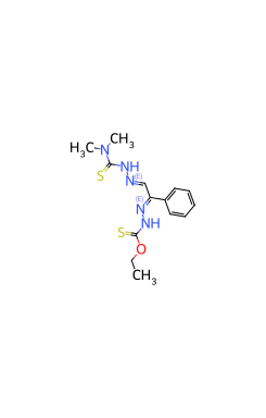 CCOC(=S)N/N=C(/C=N/NC(=S)N(C)C)c1ccccc1